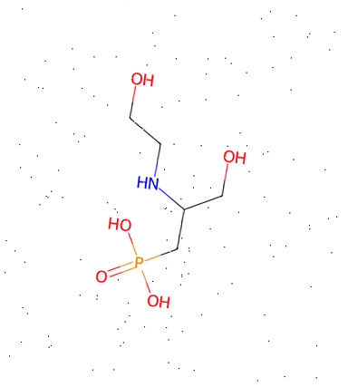 O=P(O)(O)CC(CO)NCCO